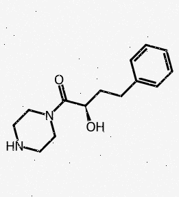 O=C([C@H](O)CCc1ccccc1)N1CCNCC1